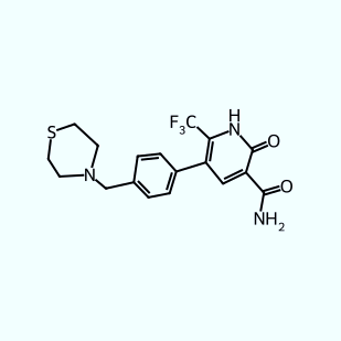 NC(=O)c1cc(-c2ccc(CN3CCSCC3)cc2)c(C(F)(F)F)[nH]c1=O